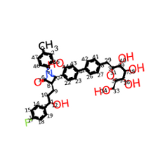 Cc1ccc(N2C(=O)[C@H](CC[C@H](O)c3ccc(F)cc3)[C@H]2c2ccc(-c3ccc(C[C@@H]4O[C@H](CO)[C@@H](O)[C@H](O)[C@H]4O)cc3)cc2O)cc1